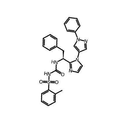 Cc1ccccc1S(=O)(=O)NC(=O)N[C@@H](Cc1ccccc1)c1nccn1-c1cnn(-c2ccccc2)c1